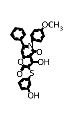 COc1ccc(-n2c(-c3ccccc3)cc3oc(=O)c(Sc4cccc(O)c4)c(O)c3c2=O)cc1